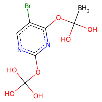 BC(O)(O)Oc1nc(OC(O)(O)O)ncc1Br